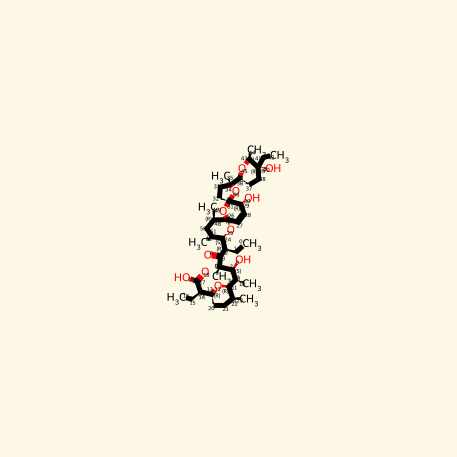 CC[C@@H](C(=O)[C@@H](C)[C@@H](O)[C@H](C)[C@@H]1O[C@@H]([C@@H](CC)C(=O)O)CC[C@@H]1C)[C@H]1O[C@]2(C=C[C@@H](O)[C@@]3(CC[C@@](C)([C@H]4CC[C@](O)(CC)[C@H](C)O4)O3)O2)[C@H](C)C[C@@H]1C